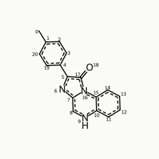 Cc1ccc(-c2nc3c[nH]c4ccccc4n-3c2=O)cc1